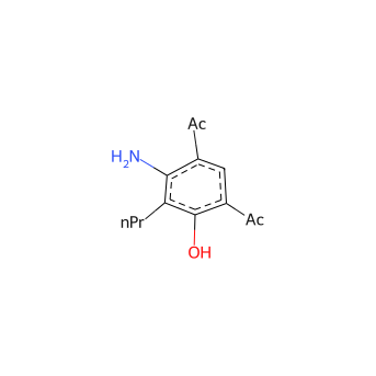 CCCc1c(N)c(C(C)=O)cc(C(C)=O)c1O